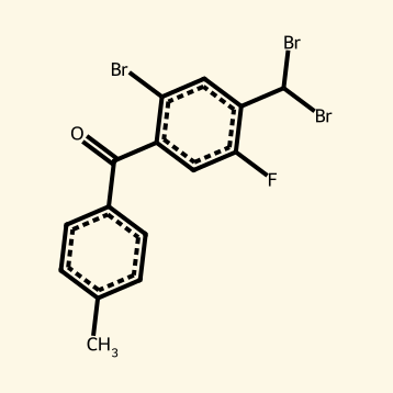 Cc1ccc(C(=O)c2cc(F)c(C(Br)Br)cc2Br)cc1